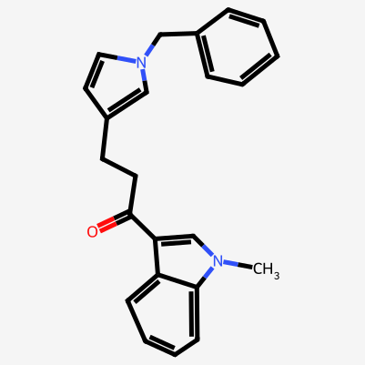 Cn1cc(C(=O)CCc2ccn(Cc3ccccc3)c2)c2ccccc21